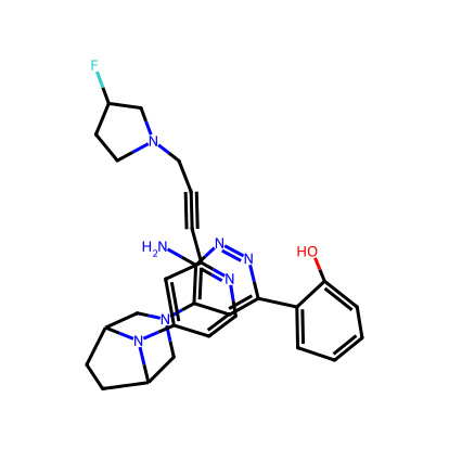 Nc1nnc(-c2ccccc2O)cc1N1CC2CCC(C1)N2c1ccnc(C#CCN2CCC(F)C2)c1